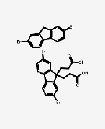 Brc1ccc2c(c1)Cc1cc(Br)ccc1-2.O=C(O)CCC1(CCC(=O)O)c2cc(Br)ccc2-c2ccc(Br)cc21